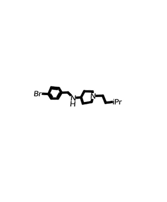 CC(C)CCN1CCC(NCc2ccc(Br)cc2)CC1